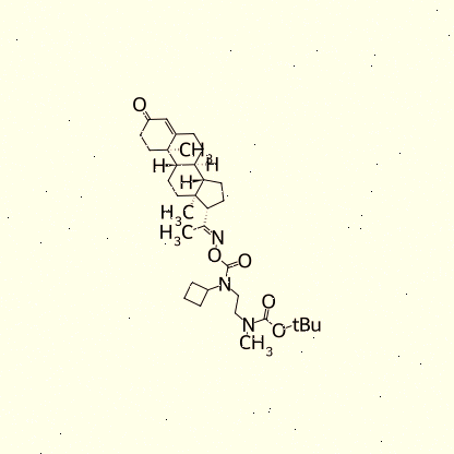 C/C(=N\OC(=O)N(CCN(C)C(=O)OC(C)(C)C)C1CCC1)[C@H]1CC[C@H]2[C@@H]3CCC4=CC(=O)CC[C@]4(C)[C@H]3CC[C@]12C